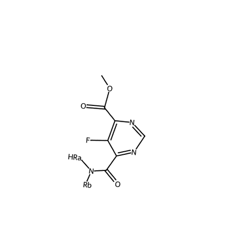 COC(=O)c1ncnc(C(=O)[N]([Rb])[RaH])c1F